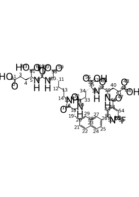 O=C(O)CC[C@H](NC(=O)N[C@@H](CCCCNC(=O)[C@@H](Cc1ccc2ccccc2c1)NC(=O)CC[C@@H](NC(=O)[C@@H](CCC(=O)O)NC(=O)c1ccnc([18F])c1)C(=O)O)C(=O)O)C(=O)O